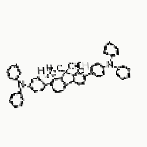 Cc1c(-c2ccc(N(c3ccccc3)c3ccccc3)cc2)ccc2c1C(C)(C)c1c-2ccc(-c2ccc(N(c3ccccc3)c3ccccc3)cc2)c1C